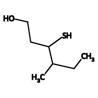 CCC(C)C(S)CCO